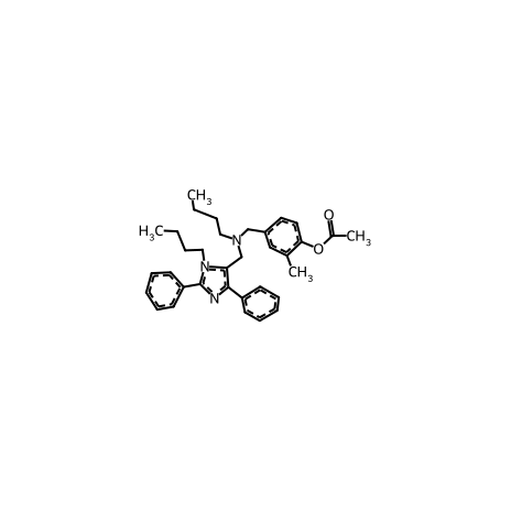 CCCCN(Cc1ccc(OC(C)=O)c(C)c1)Cc1c(-c2ccccc2)nc(-c2ccccc2)n1CCCC